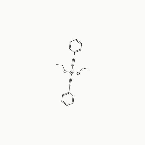 CCO[Si](C#Cc1ccccc1)(C#Cc1ccccc1)OCC